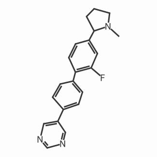 CN1CCCC1c1ccc(-c2ccc(-c3cncnc3)cc2)c(F)c1